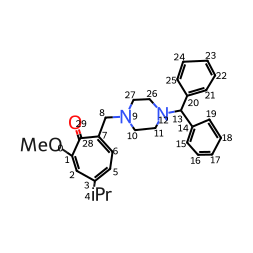 COc1cc(C(C)C)ccc(CN2CCN(C(c3ccccc3)c3ccccc3)CC2)c1=O